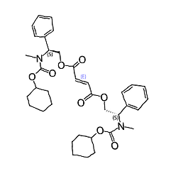 CN(C(=O)OC1CCCCC1)[C@H](COC(=O)/C=C/C(=O)OC[C@H](c1ccccc1)N(C)C(=O)OC1CCCCC1)c1ccccc1